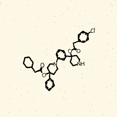 O=C(Cc1ccc(Cl)cc1)OC1(c2cccc(N3CCC(OC(=O)CC4CCCCC4)(c4ccccc4)CC3)c2)CCNCC1